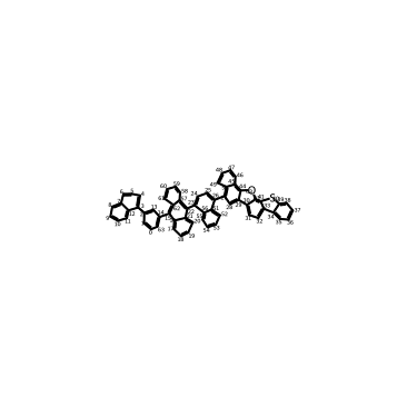 c1cc(-c2cccc3ccccc23)cc(-c2c3ccccc3c(-c3ccc(-c4cc5c6ccc7c8ccccc8sc7c6oc5c5ccccc45)c4ccccc34)c3ccccc23)c1